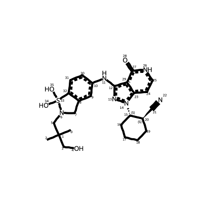 CC(C)(CO)CN1Cc2cc(Nc3nn([C@H]4CCCC[C@@H]4C#N)c4cc[nH]c(=O)c34)ccc2S1(O)O